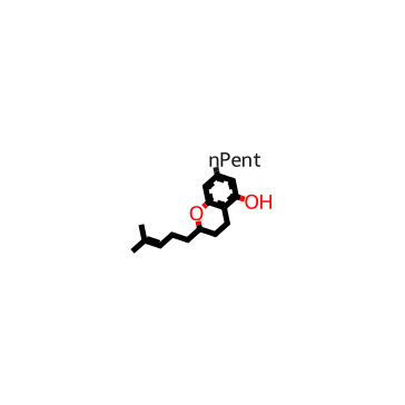 CCCCCc1cc(O)c2c(c1)OC(CCC=C(C)C)CC2